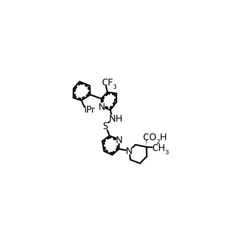 CC(C)c1ccccc1-c1nc(NSc2cccc(N3CCC[C@@](C)(C(=O)O)C3)n2)ccc1C(F)(F)F